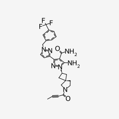 CC#CC(=O)N1CC[C@]2(C1)C[C@H](n1nc(-c3ccn(Cc4cccc(C(F)(F)F)c4)n3)c(C(N)=O)c1N)C2